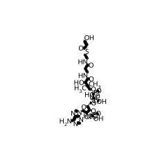 CC(C)(COP(=O)(O)OP(=O)(O)OC[C@H]1O[C@@H](n2cnc3c(N)ncnc32)[C@H](O)[C@@H]1OP(=O)(O)O)C(O)C(=O)NCCC(=O)NCCSC(=O)C=CO